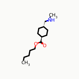 CCCCCOC(=O)[C@H]1CC[C@H](CNC)CC1